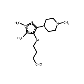 Cc1c(NCCCC=O)c(N2CCN(C)CC2)nn1C